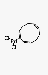 [Cl][Pd]([Cl])[C]1=CCCC=CCCC=C1